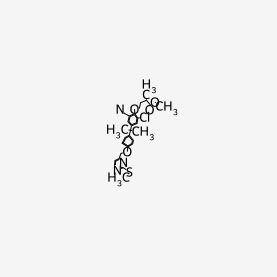 COC(=O)C(C)CCOc1c(Cl)cc(C(C)(C)c2ccc(OCc3ccnc(SC)n3)cc2)cc1C#N